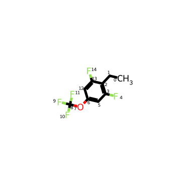 CCc1c(F)cc(OC(F)(F)F)cc1F